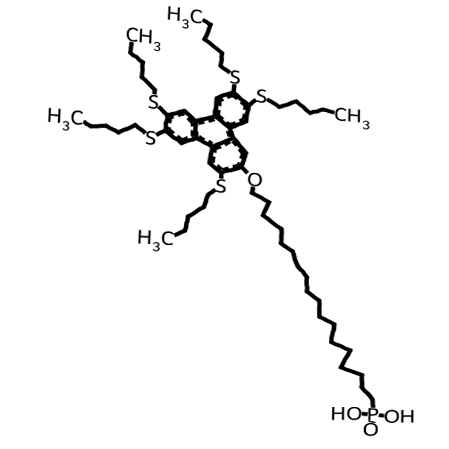 CCCCCSc1cc2c(cc1OCCCCCCCCCCCCCCCCCCP(=O)(O)O)c1cc(SCCCCC)c(SCCCCC)cc1c1cc(SCCCCC)c(SCCCCC)cc21